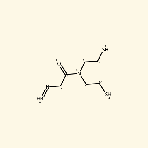 B=NCC(=O)N(CCS)CCS